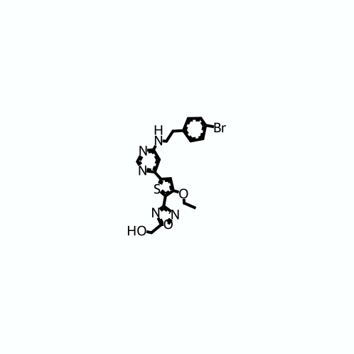 CCOc1cc(-c2cc(NCCc3ccc(Br)cc3)ncn2)sc1-c1noc(CO)n1